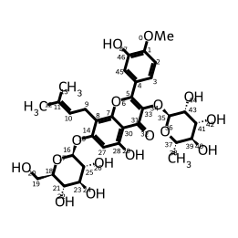 COc1ccc(-c2oc3c(CC=C(C)C)c(O[C@@H]4O[C@H](CO)[C@@H](O)[C@H](O)[C@H]4O)cc(O)c3c(=O)c2O[C@@H]2O[C@@H](C)[C@H](O)[C@@H](O)[C@H]2O)cc1O